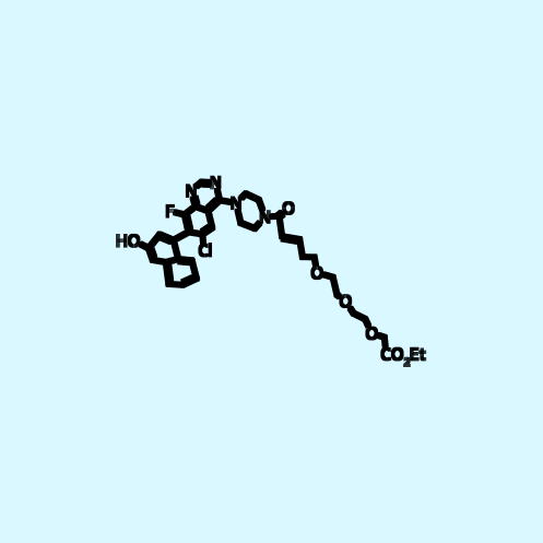 CCOC(=O)COCCOCCOCC/C=C/C(=O)N1CCN(c2ncnc3c(F)c(-c4cc(O)cc5ccccc45)c(Cl)cc23)CC1